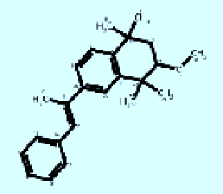 COC1CC(C)(C)c2ccc(C(C)=Cc3ccccc3)cc2C1(C)C